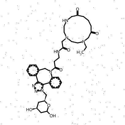 CCN1CCN(CC(=O)NCCC(=O)N2Cc3ccccc3-c3nnn(C[C@@H]4C[C@H](O)CC(O)O4)c3-c3ccccc32)CCNCC(=O)CCCC(=O)C1